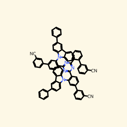 N#Cc1cccc(-c2ccc(-c3nc(-c4ccccc4-c4cccc(C#N)c4)nc(-c4ccc(-c5cccc(C#N)c5)cc4-n4c5ccccc5c5cc(-c6ccccc6)ccc54)n3)c(-n3c4ccccc4c4cc(-c5ccccc5)ccc43)c2)c1